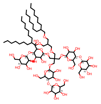 CCCCCCCC(CCCCCCC)COCC(COCC(CCCCCCC)CCCCCCC)COCC(CO[C@@H]1OC(CO)[C@@H](O[C@H]2OC(CO)[C@@H](O)C(O)C2O)C(O)C1O)(CO[C@@H]1OC(CO)[C@@H](O[C@@H]2OC(CO)[C@@H](O)C(O)C2O)C(O)C1O)CO[C@@H]1OC(CO)[C@H](O[C@H]2OC(CO)[C@@H](O)C(O)C2O)C(O)C1O